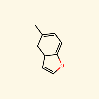 CC1=CC=C2OC=CC2C1